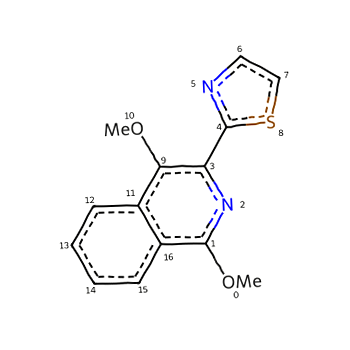 COc1nc(-c2nccs2)c(OC)c2ccccc12